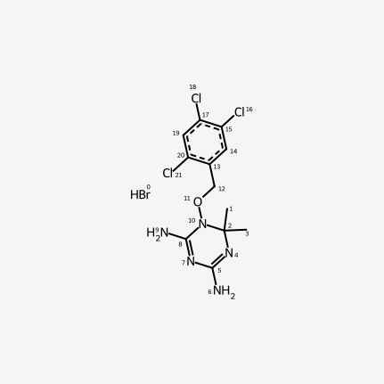 Br.CC1(C)N=C(N)N=C(N)N1OCc1cc(Cl)c(Cl)cc1Cl